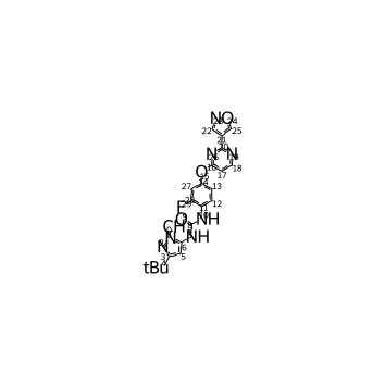 Cn1nc(C(C)(C)C)cc1NC(=O)Nc1ccc(Oc2ccnc(-c3cnoc3)n2)cc1F